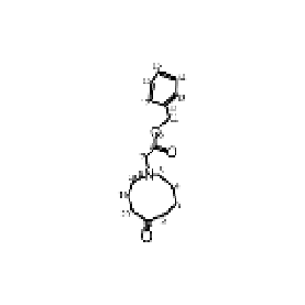 O=C1CCCCN(CC(=O)OCc2ccccc2)CCC1